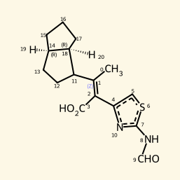 C/C(=C(/C(=O)O)c1csc(NC=O)n1)C1CC[C@H]2CCC[C@@H]12